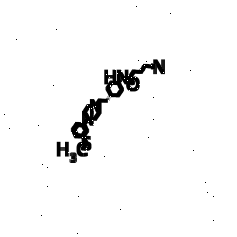 CSc1cccc(N2CCN(CC[C@H]3CC[C@H](NC(=O)CCCC#N)CC3)CC2)c1